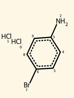 Cl.Cl.Nc1ccc(Br)cc1